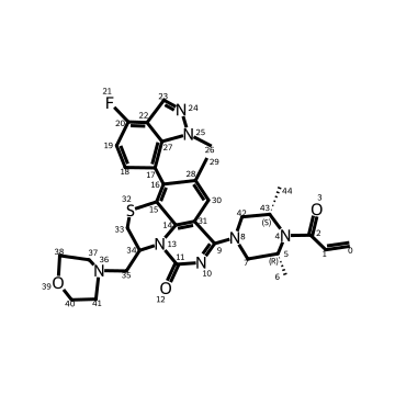 C=CC(=O)N1[C@H](C)CN(c2nc(=O)n3c4c(c(-c5ccc(F)c6cnn(C)c56)c(C)cc24)SCC3CN2CCOCC2)C[C@@H]1C